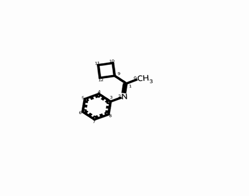 C/C(=N/c1ccccc1)C1CCC1